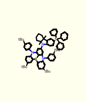 CC(C)(C)c1ccc(N2c3ccc(C(C)(C)C)cc3B3c4ccc(C(C)(C)C)cc4N(c4cccc(C(C)(C)C)c4)c4cc(N5c6ccc([Si](c7ccccc7)(c7ccccc7)c7ccccc7)cc6C6(C)CCCCC56C)cc2c43)cc1